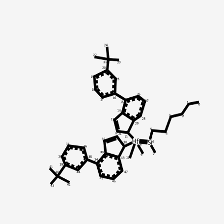 CCCCCC[Si](C)=[Hf]([CH3])([CH3])([CH]1C=Cc2c(-c3cccc(C(C)(C)C)c3)cccc21)[CH]1C=Cc2c(-c3cccc(C(C)(C)C)c3)cccc21